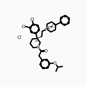 CC(C)Oc1cccc(CC(=O)N2CCC[C@](CC[N+]34CCC(c5ccccc5)(CC3)CC4)(c3ccc(Cl)c(Cl)c3)C2)c1.[Cl-]